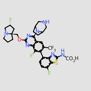 O=C(O)Nc1nc2c(-c3c(C(F)(F)F)cc4c(N5C6CCC5CNC6)nc(OC[C@@]56CCCN5C[C@H](F)C6)nc4c3F)ccc(F)c2s1